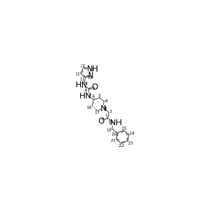 O=C(CN1CCC(NC(=O)Nc2cc[nH]n2)CC1)NCc1ccccc1